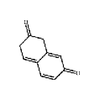 O=C1C=CC2=CCC(=O)CC2=C1